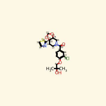 CC(C)(O)COc1ccc(C(=O)N2CC[C@]3(c4nccs4)OCOC3C2)cc1Cl